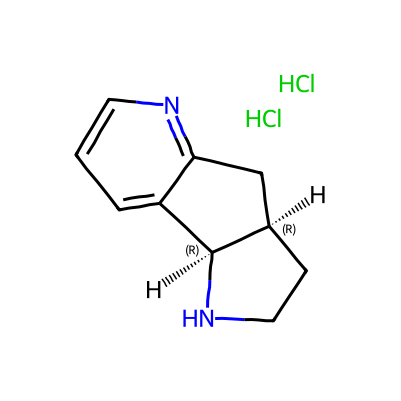 Cl.Cl.c1cnc2c(c1)[C@@H]1NCC[C@@H]1C2